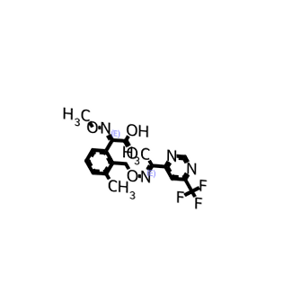 CO/N=C(/C(=O)O)c1cccc(C)c1CO/N=C(\C)c1cc(C(F)(F)F)ncn1